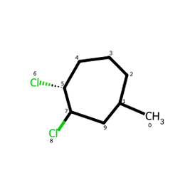 CC1CCC[C@@H](Cl)C(Cl)C1